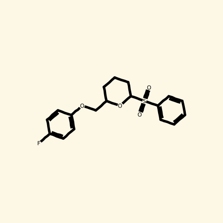 O=S(=O)(c1ccccc1)C1CCCC(COc2ccc(F)cc2)O1